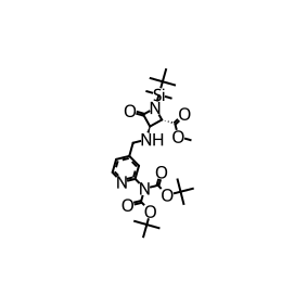 COC(=O)[C@@H]1[C@@H](NCc2ccnc(N(C(=O)OC(C)(C)C)C(=O)OC(C)(C)C)c2)C(=O)N1[Si](C)(C)C(C)(C)C